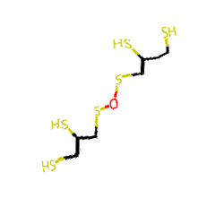 SCC(S)CSOSCC(S)CS